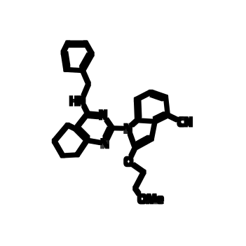 COCCOc1cc2c(C#N)cccc2n1-c1nc2c(c(NCc3ccccc3)n1)CCCC2